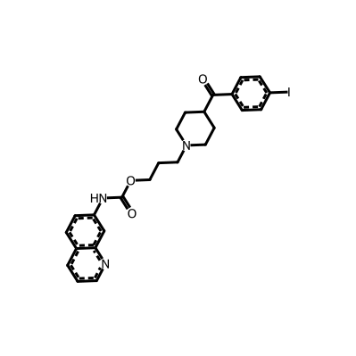 O=C(Nc1ccc2cccnc2c1)OCCCN1CCC(C(=O)c2ccc(I)cc2)CC1